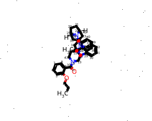 CCCOc1ccccc1C(=O)N1CCC(CCN2[C@@H]3CC[C@H]2CC(n2c(C)nc4ccccc42)C3)(c2ccccc2)CC1